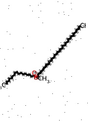 CCCCCCCC/C=C\CCCCCCCC(=O)OC(C)CCCCCCCCCCCCCCCCCCCCCCCCCCCCCCCC